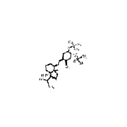 C=C1C(=CC=C2CCC[C@]3(C)C([C@@H](C)O)=CC[C@@H]23)C[C@@H](O[Si](C)(C)C(C)(C)C)C[C@@H]1O[Si](C)(C)C(C)(C)C